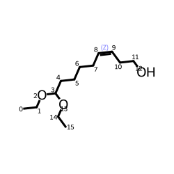 CCOC(CCCC/C=C\CCO)OCC